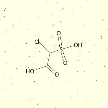 O=C(O)C(Cl)S(=O)(=O)O